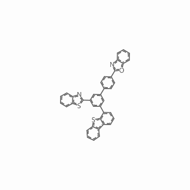 c1ccc2oc(-c3ccc(-c4cc(-c5nc6ccccc6s5)cc(-c5cccc6c5sc5ccccc56)c4)cc3)nc2c1